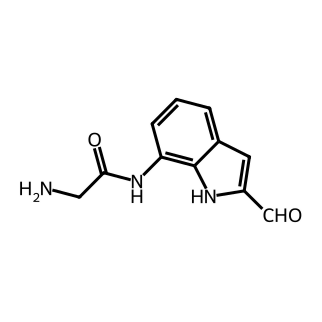 NCC(=O)Nc1cccc2cc(C=O)[nH]c12